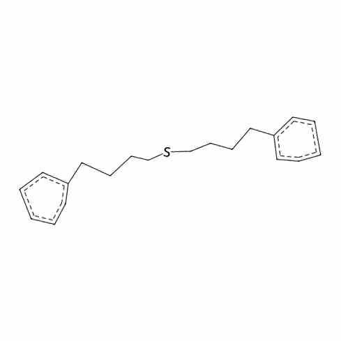 c1ccc(CCCCSCCCCc2ccccc2)cc1